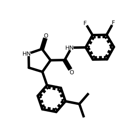 CC(C)c1cccc(C2CNC(=O)C2C(=O)Nc2cccc(F)c2F)c1